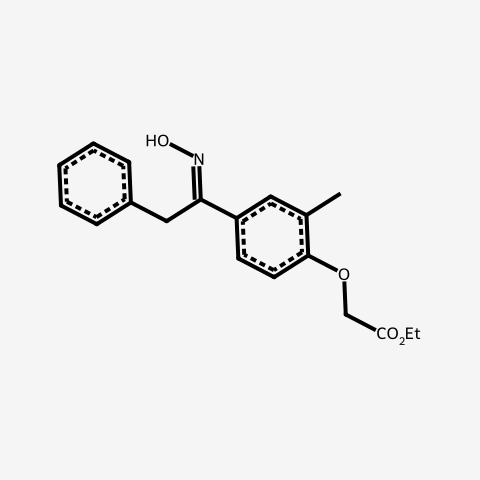 CCOC(=O)COc1ccc(/C(Cc2ccccc2)=N/O)cc1C